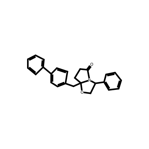 O=C1CCC2(Cc3ccc(-c4ccccc4)cc3)OCC(c3ccccc3)N12